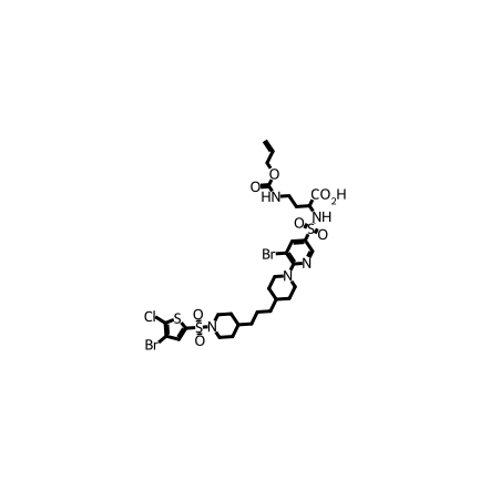 C=CCOC(=O)NCCC(NS(=O)(=O)c1cnc(N2CCC(CCCC3CCN(S(=O)(=O)c4cc(Br)c(Cl)s4)CC3)CC2)c(Br)c1)C(=O)O